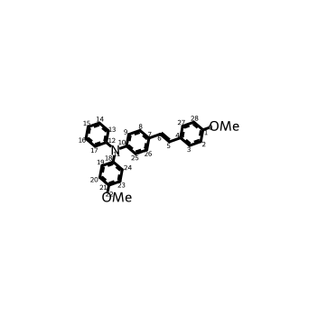 COc1ccc(C=Cc2ccc(N(c3ccccc3)c3ccc(OC)cc3)cc2)cc1